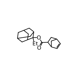 CCC1(OC(=O)C2CC3C=CC2C3)C2CC3CC(C2)CC1C3